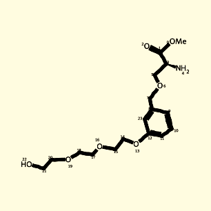 COC(=O)[C@@H](N)COCc1cccc(OCCOCCOCCO)c1